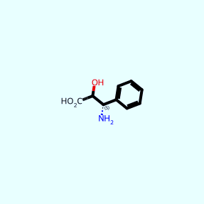 N[C@@H](c1ccccc1)C(O)C(=O)O